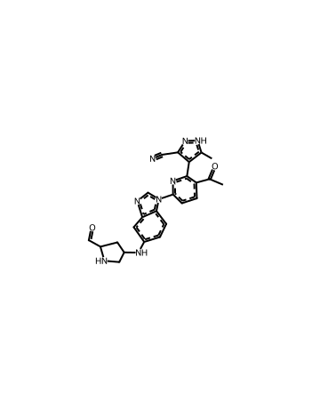 CC(=O)c1ccc(-n2cnc3cc(NC4CNC(C=O)C4)ccc32)nc1-c1c(C#N)n[nH]c1C